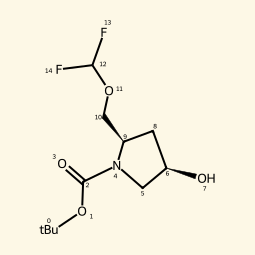 CC(C)(C)OC(=O)N1C[C@H](O)C[C@@H]1COC(F)F